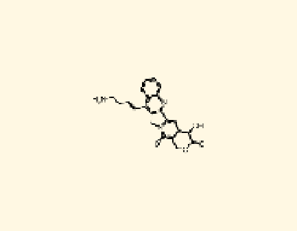 NCC/C=C/c1c2c(nc3ccccc13)-c1cc3c(c(=O)n1C2)COC(=O)C3O